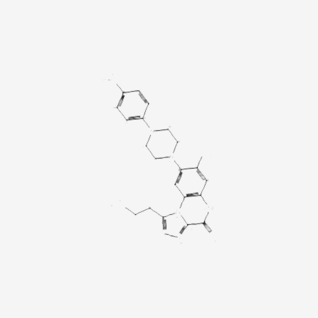 COc1ccc(N2CCN(c3cc4c(cc3C(F)(F)F)[nH]c(=O)c3nnc(CCC(=O)O)n34)CC2)cc1